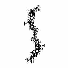 CN(C)CCNc1ccc2cc(S(=O)(=O)Nc3ccc(C(=O)CSSCC(=O)c4ccc(NS(=O)(=O)c5ccc6nc(NCCN(C)C)ccc6c5)cn4)nc3)ccc2n1